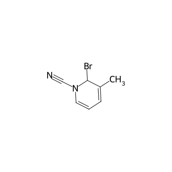 CC1=CC=CN(C#N)C1Br